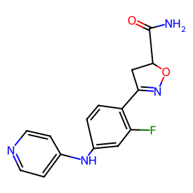 NC(=O)C1CC(c2ccc(Nc3ccncc3)cc2F)=NO1